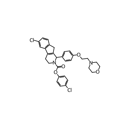 O=C(Oc1ccc(Cl)cc1)N1CCC2=C(Cc3ccc(Cl)cc32)C1c1ccc(OCCN2CCOCC2)cc1